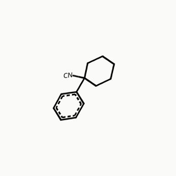 [C-]#[N+]C1(c2ccccc2)CCCCC1